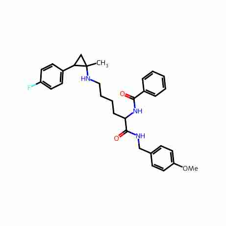 COc1ccc(CNC(=O)C(CCCCNC2(C)CC2c2ccc(F)cc2)NC(=O)c2ccccc2)cc1